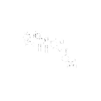 CC(NC(=O)Nc1cc(OCc2ccc(S(C)(=O)=O)cc2F)c(Cl)cc1Cl)c1ncnn1-c1ncccn1